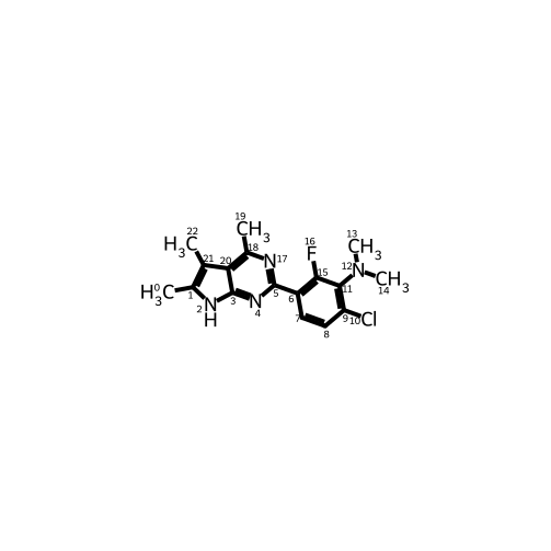 Cc1[nH]c2nc(-c3ccc(Cl)c(N(C)C)c3F)nc(C)c2c1C